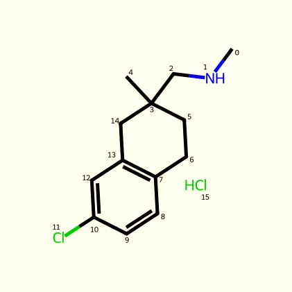 CNCC1(C)CCc2ccc(Cl)cc2C1.Cl